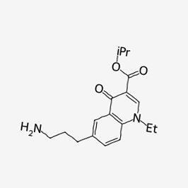 CCn1cc(C(=O)OC(C)C)c(=O)c2cc(CCCN)ccc21